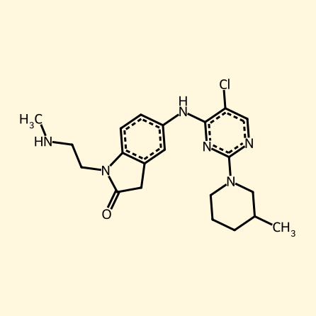 CNCCN1C(=O)Cc2cc(Nc3nc(N4CCCC(C)C4)ncc3Cl)ccc21